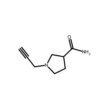 C#CCN1CCC(C(N)=O)C1